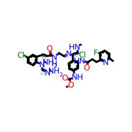 CN/C(Cl)=C(\N=C\CNC(=O)/C=C/c1cc(Cl)ccc1N(N)/C=N\N)c1ccc(NC(=O)OC)cc1NC(=O)CCc1nc(C)ccc1F